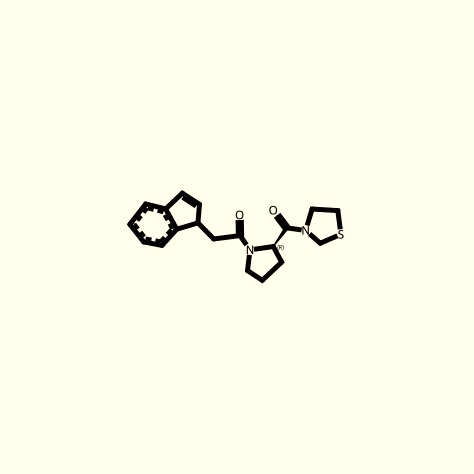 O=C([C@H]1CCCN1C(=O)CC1C=Cc2ccccc21)N1CCSC1